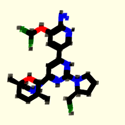 Nc1ncc(-c2cc(N3C[C@@H]4CC[C@H]3CO4)nc(N3CCC[C@H]3CF)n2)cc1OC(F)F